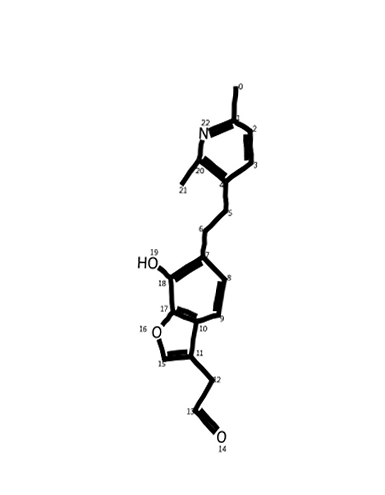 Cc1ccc(CCc2ccc3c(CC=O)coc3c2O)c(C)n1